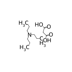 CCCN(CCC)CCC.O=C(O)CC(=O)O